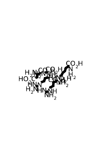 N=C(N)NCCC[C@H](N)C(=O)O.N=C(N)NCCC[C@H](NC(N)C(=O)O)C(=O)O.NC(CC(=O)O)CC(=O)O.NCCCC[C@H](N)C(=O)O